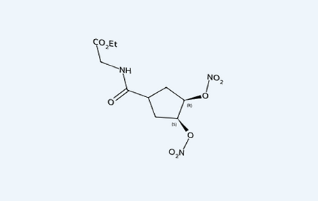 CCOC(=O)CNC(=O)C1C[C@H](O[N+](=O)[O-])[C@H](O[N+](=O)[O-])C1